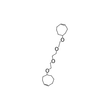 C1=C\CCC(OCCOCCOCCOC2CC/C=C\CCC2)CCC/1